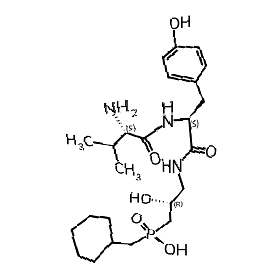 CC(C)[C@H](N)C(=O)N[C@@H](Cc1ccc(O)cc1)C(=O)NC[C@@H](O)CP(=O)(O)CC1CCCCC1